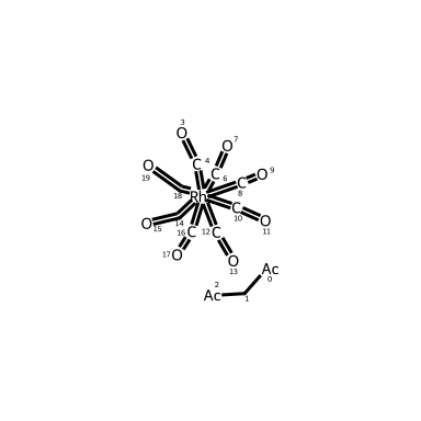 CC(=O)CC(C)=O.O=[C]=[Rh](=[C]=O)(=[C]=O)(=[C]=O)(=[C]=O)(=[C]=O)(=[C]=O)=[C]=O